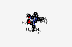 CC(C)(C)c1ccc2c(c1)c1cc(C(C)(C)C)cc3c4nc5c(cc4n2c13)c1cc(C(C)(C)C)cc2c3cc4ccccc4c(-c4ccc6c(c4)c4ccccc4n6-c4ccccc4)c3n5c12